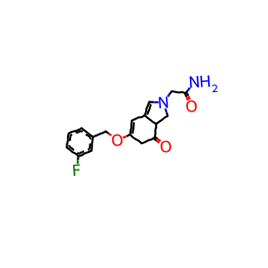 NC(=O)CN1C=C2C=C(OCc3cccc(F)c3)CC(=O)C2C1